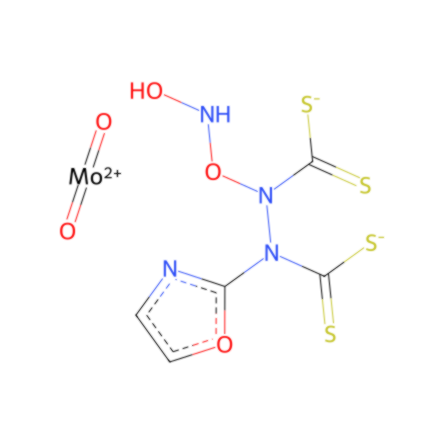 ONON(C(=S)[S-])N(C(=S)[S-])c1ncco1.[O]=[Mo+2]=[O]